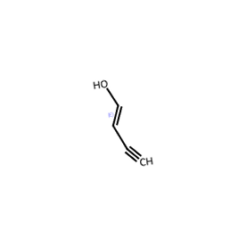 C#C/C=C/O